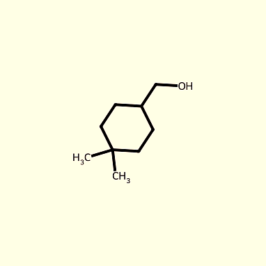 CC1(C)CCC(CO)CC1